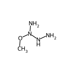 CON(N)NN